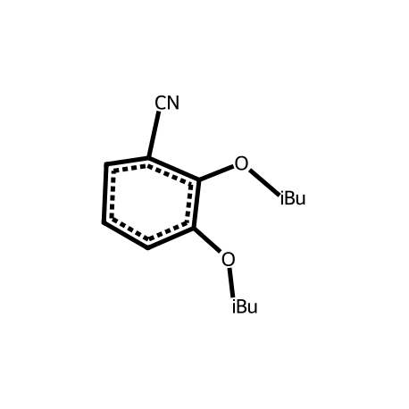 CCC(C)Oc1cccc(C#N)c1OC(C)CC